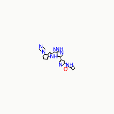 CN1CCN(c2cccc3[nH]c(-c4n[nH]c5ncc(-c6cncc(NC(=O)C7CCC7)c6)cc45)cc23)CC1